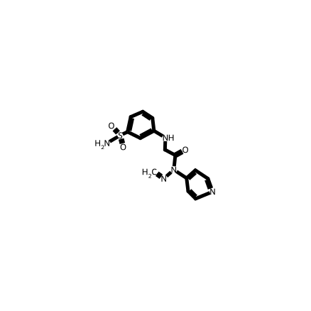 C=NN(C(=O)CNc1cccc(S(N)(=O)=O)c1)c1ccncc1